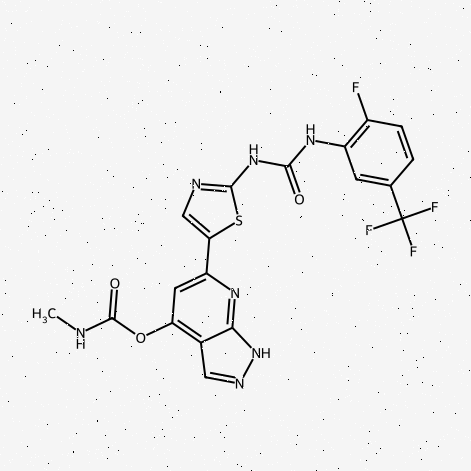 CNC(=O)Oc1cc(-c2cnc(NC(=O)Nc3cc(C(F)(F)F)ccc3F)s2)nc2[nH]ncc12